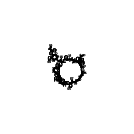 CCC(=O)O[C@@H]1/C(C)=C/[C@@H](C)C(=O)C[C@@H]([C@H](C)C[C@@H]2CC[C@@H](OC(=O)CC)[C@H](OC)C2)OC(=O)[C@@H]2CCCCN2C(=O)C(=O)[C@]2(O)O[C@@H](CC[C@H]2C)C[C@H](OC)/C(C)=C/C=C/C=C/[C@@H](C)C[C@@H](C)C(=O)[C@@H]1OC